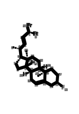 CC[C@H](/C=C/[C@@H](C)[C@H]1CC[C@H]2[C@@H]3CC=C4C[C@H](F)CC[C@]4(C)[C@H]3CC[C@]12C)C(C)C